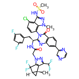 Cn1nc(NS(C)(=O)=O)c2c(Cl)ccc(-n3c([C@H](Cc4cc(F)cc(F)c4)NC(=O)Cn4nc(C(F)F)c5c4C(F)(F)[C@@H]4C[C@@]54C)nc4cc(-c5cnccn5)ccc4c3=O)c21